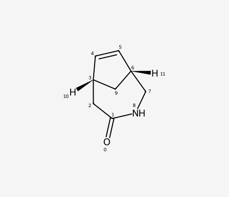 O=C1C[C@@H]2C=C[C@H](CN1)C2